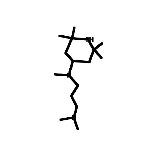 CN(C)CCCN(C)C1CC(C)(C)NC(C)(C)C1